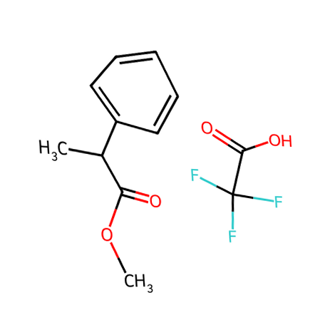 COC(=O)C(C)c1ccccc1.O=C(O)C(F)(F)F